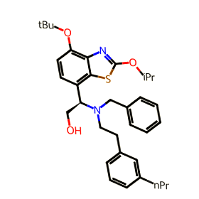 CCCc1cccc(CCN(Cc2ccccc2)[C@@H](CO)c2ccc(OC(C)(C)C)c3nc(OC(C)C)sc23)c1